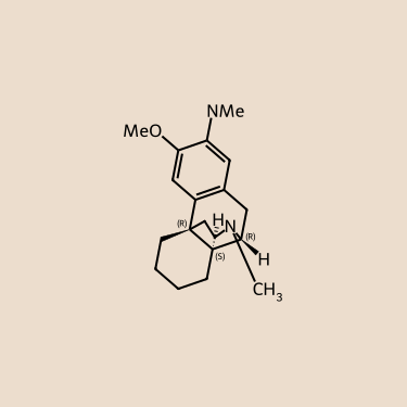 CNc1cc2c(cc1OC)[C@@]13CCCC[C@@H]1[C@@H](C2)N(C)CC3